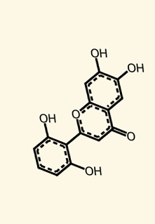 O=c1cc(-c2c(O)cccc2O)oc2cc(O)c(O)cc12